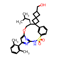 Cc1cccc(C)c1-c1cc2nc(n1)NS(=O)(=O)c1cccc(c1)C1(CC3(CC(CO)C3)C1)[C@H](CC(C)C)CO2